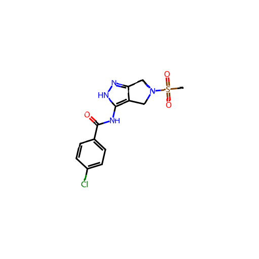 CS(=O)(=O)N1Cc2n[nH]c(NC(=O)c3ccc(Cl)cc3)c2C1